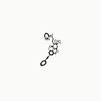 CN(CCN1C(=O)N(c2c(F)cc(C#Cc3ccccc3)cc2F)C(=O)CC1(C)C=O)c1cccnn1